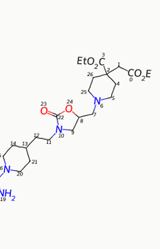 CCOC(=O)CC1(C(=O)OCC)CCN(CC2CN(CCC3CCN(C(=N)N)CC3)C(=O)O2)CC1